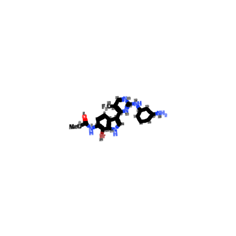 COC(=O)Nc1ccc2c(-c3nc(NC4CCCC(N)C4)ncc3C(F)(F)F)c[nH]c2c1Br